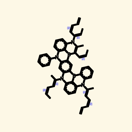 C=C/C=C\C=C(/C)N1c2ccccc2B2c3cc4c(cc3N(/C(C)=C/C=C\C)c3cccc1c32)N(c1ccccc1)c1cccc2c1B4C(/C=C\C)=C(C)N2C(/C=C\C=C)=C/C